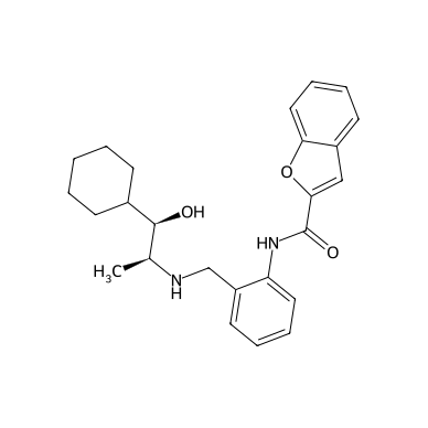 C[C@H](NCc1ccccc1NC(=O)c1cc2ccccc2o1)[C@H](O)C1CCCCC1